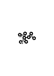 c1ccc(-n2c3ccccc3c3cc(-c4c5c6ccccc6n(-c6ccccn6)c5cc5c4c4ccccc4n5-c4ccccn4)ccc32)cc1